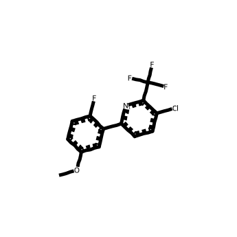 COc1ccc(F)c(-c2ccc(Cl)c(C(F)(F)F)n2)c1